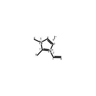 C=C[n+]1ccn(C)c1C.[I-]